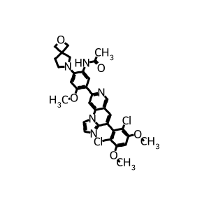 COc1cc(N2CCC3(COC3)C2)c(NC(C)=O)cc1-c1cc2c(cn1)cc(-c1c(Cl)c(OC)cc(OC)c1Cl)c1nccn12